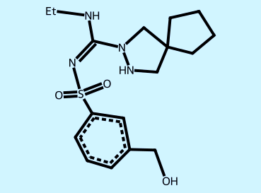 CCN/C(=N/S(=O)(=O)c1cccc(CO)c1)N1CC2(CCCC2)CN1